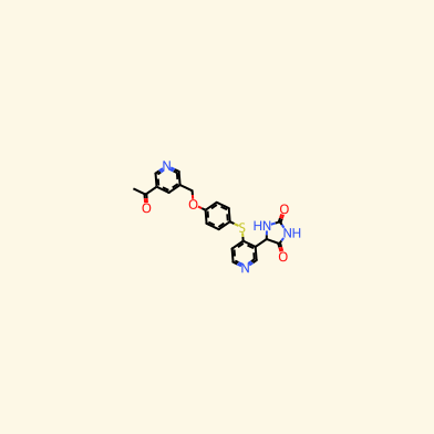 CC(=O)c1cncc(COc2ccc(Sc3ccncc3C3NC(=O)NC3=O)cc2)c1